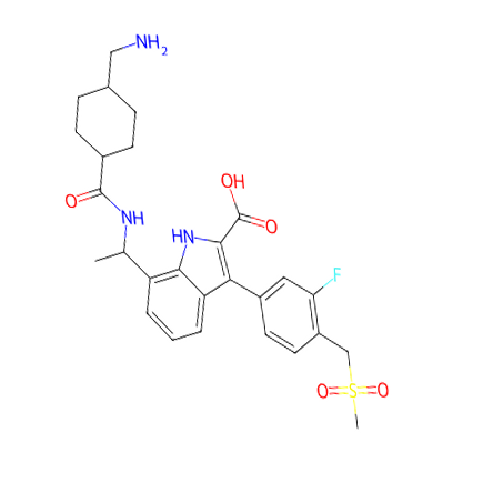 CC(NC(=O)C1CCC(CN)CC1)c1cccc2c(-c3ccc(CS(C)(=O)=O)c(F)c3)c(C(=O)O)[nH]c12